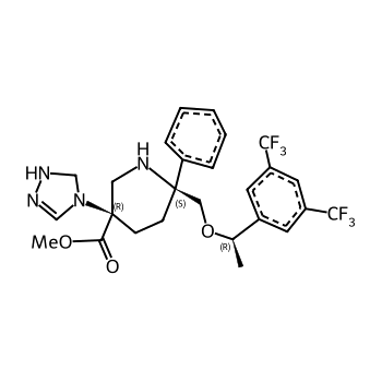 COC(=O)[C@@]1(N2C=NNC2)CC[C@@](CO[C@H](C)c2cc(C(F)(F)F)cc(C(F)(F)F)c2)(c2ccccc2)NC1